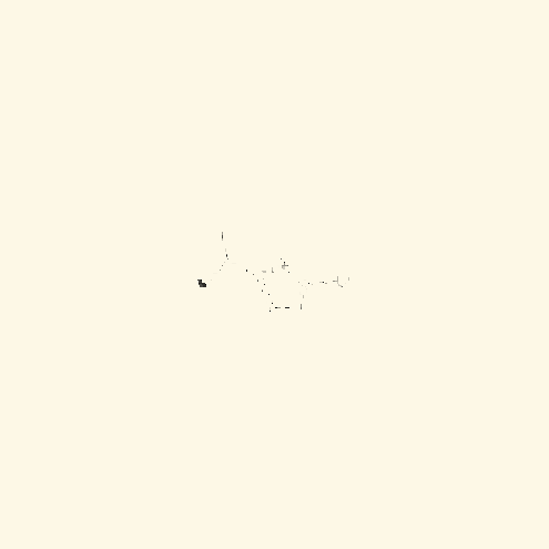 CC(Br)c1ccc(Br)s1